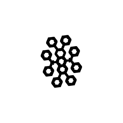 c1ccc(C2=C(c3ccccc3)Cc3c(c(N(c4ccccc4)c4ccccc4)c4cc(-c5ccccc5)c(-c5ccccc5)cc4c3N(c3ccccc3)c3ccccc3)C2)cc1